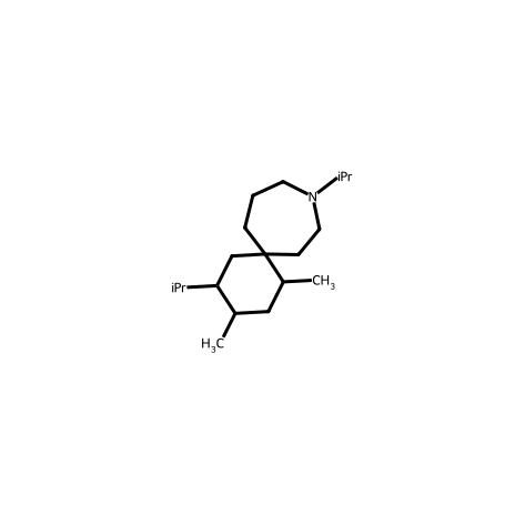 CC(C)C1CC2(CCCN(C(C)C)CC2)C(C)CC1C